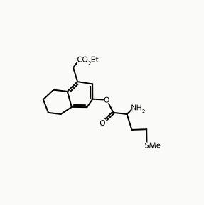 CCOC(=O)Cc1cc(OC(=O)C(N)CCSC)cc2c1CCCC2